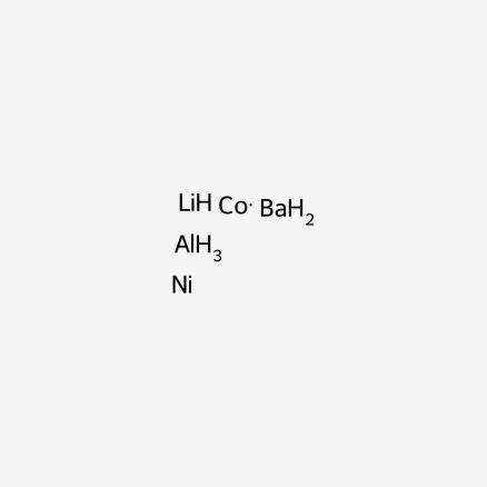 [AlH3].[BaH2].[Co].[LiH].[Ni]